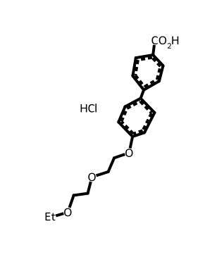 CCOCCOCCOc1ccc(-c2ccc(C(=O)O)cc2)cc1.Cl